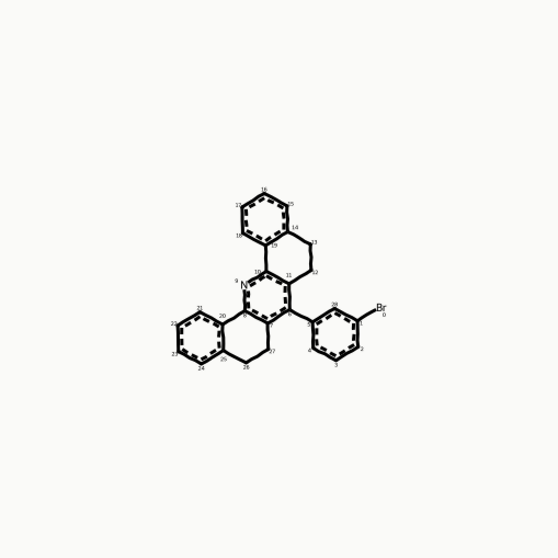 Brc1cccc(-c2c3c(nc4c2CCc2ccccc2-4)-c2ccccc2CC3)c1